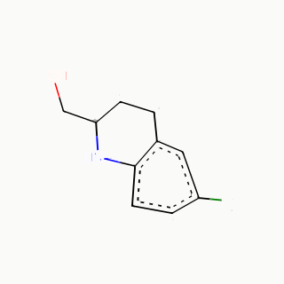 OCC1CCc2cc(Br)ccc2N1